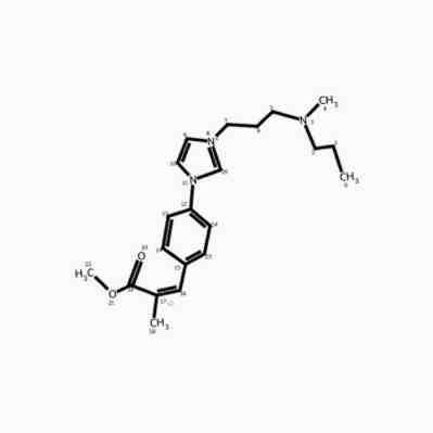 CCCN(C)CCC[n+]1ccn(-c2ccc(/C=C(/C)C(=O)OC)cc2)c1